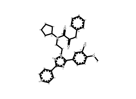 COc1ccc(-c2nc(-c3ccncc3)nn2CCN(C(=O)C(=O)Cc2ccccc2)C2CCCC2)cc1Cl